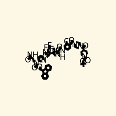 Cn1c(-c2cn(-c3ccc(N(CCC(N)=O)C(=O)OCC4c5ccccc5-c5ccccc54)cn3)nc2C(F)(F)F)cnc1C(=O)Nc1ccc(C(=O)N2CCN(C(=O)C3CCN(C(=O)OC(C)(C)C)CC3)CC2)c(Cl)c1